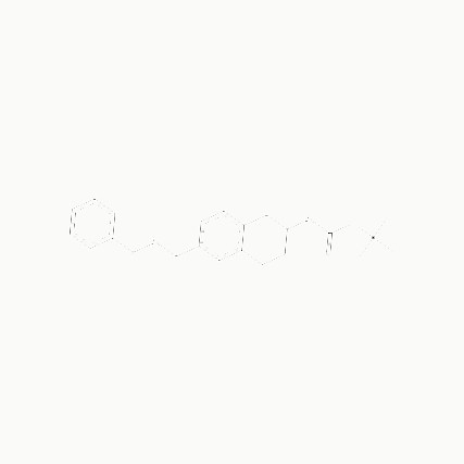 CC(C)(C)OC(=O)NC1CCc2cc(CNCc3ccccc3)ccc2C1